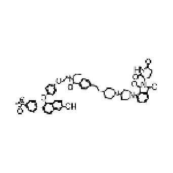 CCN(CCOc1ccc(Oc2c(-c3ccc(S(C)(=O)=O)cc3)ccc3cc(O)ccc23)cc1)C(=O)c1ccc(CCC2CCN(C3CCN(c4cccc5c4C(=O)N(C4CCC(=O)NC4=O)C5=O)CC3)CC2)cc1